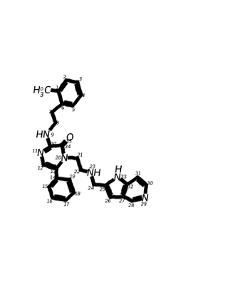 Cc1ccccc1CCNc1ncc(-c2ccccc2)n(CCNCc2cc3cnccc3[nH]2)c1=O